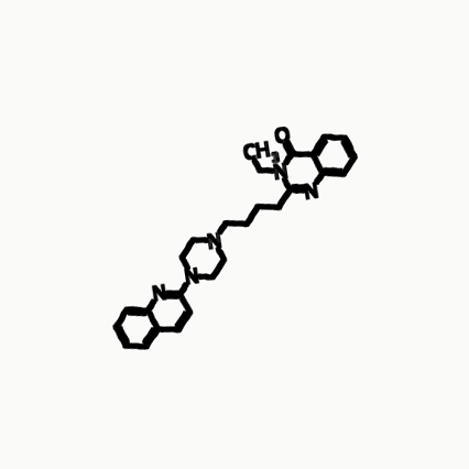 CCn1c(CCCCN2CCN(c3ccc4ccccc4n3)CC2)nc2ccccc2c1=O